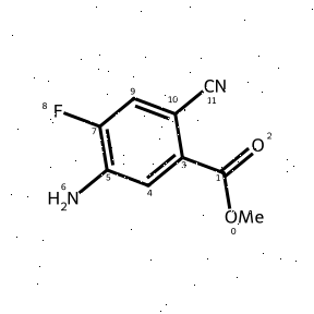 COC(=O)c1cc(N)c(F)cc1C#N